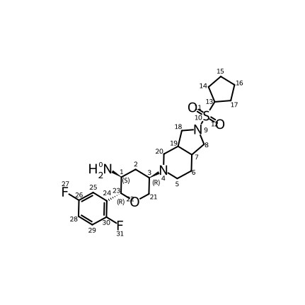 N[C@H]1C[C@@H](N2CCC3CN(S(=O)(=O)C4CCCC4)CC3C2)CO[C@@H]1c1cc(F)ccc1F